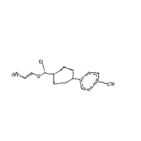 CCC/C=C/OC(CC)C1CCC(c2ccc(C#N)cc2)CC1